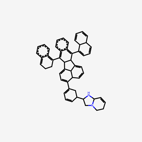 C1=CC2C=CC=C(C3=c4ccccc4=C(C4=c5ccccc5=CCC4)C4C5=CC=C(C6=CC=CC(C7CN8CCC=CC8N7)C6)C6C=CC=C(C56)C34)C2C=C1